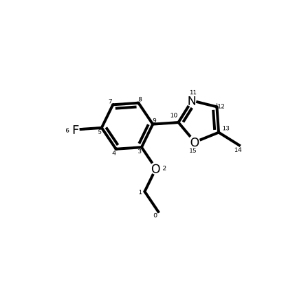 CCOc1cc(F)ccc1-c1n[c]c(C)o1